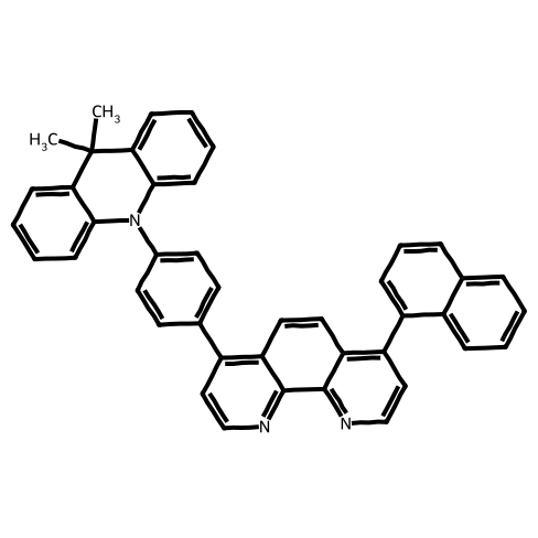 CC1(C)c2ccccc2N(c2ccc(-c3ccnc4c3ccc3c(-c5cccc6ccccc56)ccnc34)cc2)c2ccccc21